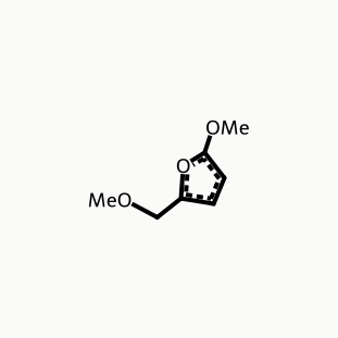 COCc1ccc(OC)o1